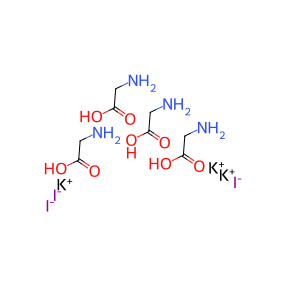 NCC(=O)O.NCC(=O)O.NCC(=O)O.NCC(=O)O.[I-].[I-].[I-].[K+].[K+].[K+]